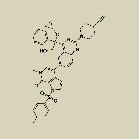 C#CC1CCN(c2nc(C(CO)(OC3CC3)c3ccccc3)c3cc(-c4cn(C)c(=O)c5c4ccn5S(=O)(=O)c4ccc(C)cc4)ccc3n2)CC1